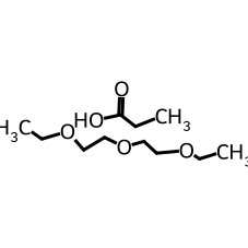 CCC(=O)O.CCOCCOCCOCC